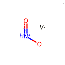 O=[NH+][O-].[V]